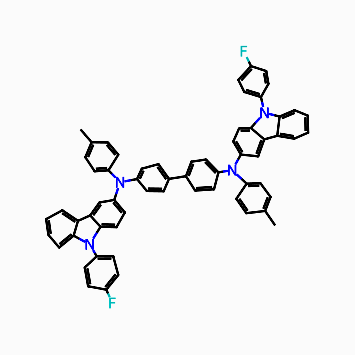 Cc1ccc(N(c2ccc(-c3ccc(N(c4ccc(C)cc4)c4ccc5c(c4)c4ccccc4n5-c4ccc(F)cc4)cc3)cc2)c2ccc3c(c2)c2ccccc2n3-c2ccc(F)cc2)cc1